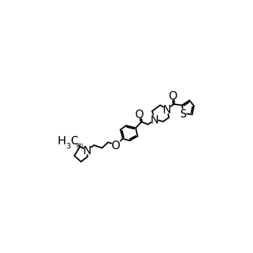 C[C@@H]1CCCN1CCCOc1ccc(C(=O)CN2CCN(C(=O)c3cccs3)CC2)cc1